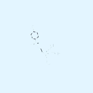 CCO[Si](/C=C/CS(=O)(=O)c1ccc(F)cc1)(OCC)OCC